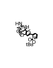 CN1C(=N)N[C@](C)(c2sc(-c3cccn3C(=O)OC(C)(C)C)cc2Cl)CS1(=O)=O